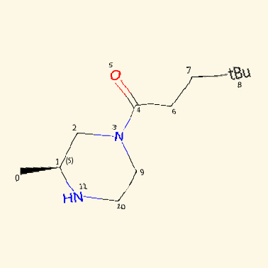 C[C@H]1CN(C(=O)CCC(C)(C)C)CCN1